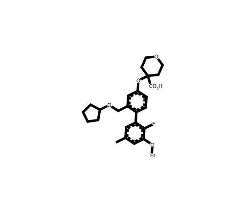 CCOc1cc(C)cc(-c2ccc(OC3(C(=O)O)CCOCC3)cc2COC2CCCC2)c1F